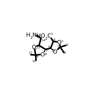 CC1(C)OC(C(=O)O)[C@H]([C@H]2OC(C)(C)OC2CN)O1